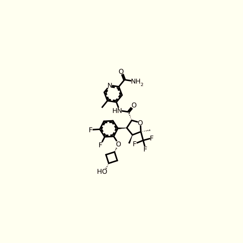 Cc1cnc(C(N)=O)cc1NC(=O)[C@@H]1O[C@@](C)(C(F)(F)F)[C@@H](C)[C@H]1c1ccc(F)c(F)c1O[C@H]1C[C@@H](O)C1